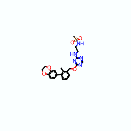 Cc1c(COc2ncnc(NCCNS(C)(=O)=O)n2)cccc1-c1ccc2c(c1)OCCO2